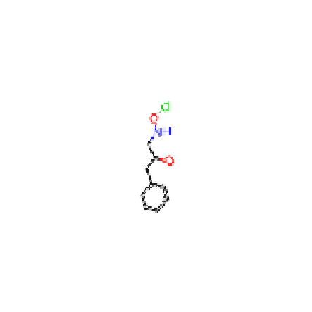 O=C(CNOCl)Cc1ccccc1